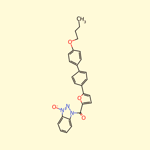 CCCCOc1ccc(-c2ccc(-c3ccc(C(=O)n4n[n+]([O-])c5ccccc54)o3)cc2)cc1